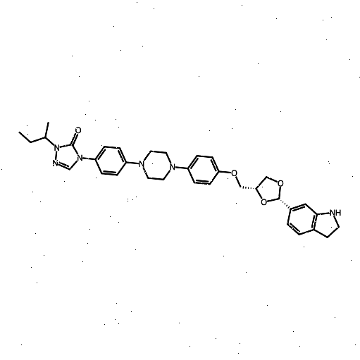 CCC(C)n1ncn(-c2ccc(N3CCN(c4ccc(OC[C@@H]5CO[C@H](c6ccc7c(c6)NCC7)O5)cc4)CC3)cc2)c1=O